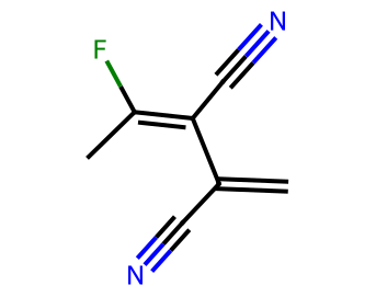 C=C(C#N)/C(C#N)=C(\C)F